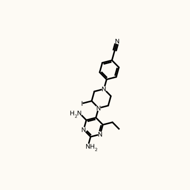 CCc1nc(N)nc(N)c1N1CCN(c2ccc(C#N)cc2)CC1I